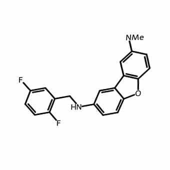 CNc1ccc2oc3ccc(NCc4cc(F)ccc4F)cc3c2c1